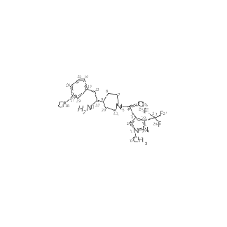 Cn1cc(C(=O)N2CCC(C(N)Cc3cccc(Cl)c3)CC2)c(C(F)(F)F)n1